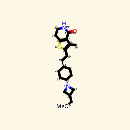 COCC1CN([C@H]2CC[C@H](CCc3sc4c(c3C)C(=O)NCC4)CC2)C1